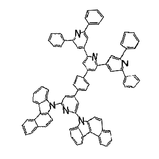 c1ccc(-c2cc(-c3cc(-c4ccc(-c5cc(-n6c7ccccc7c7c8ccccc8ccc76)nc(-n6c7ccccc7c7c8ccccc8ccc76)c5)cc4)cc(-c4cc(-c5ccccc5)nc(-c5ccccc5)c4)n3)cc(-c3ccccc3)n2)cc1